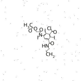 C=CCNC(=O)c1cc(N(I)C(=O)COC(C)=O)c(I)c(C(=O)Cl)c1I